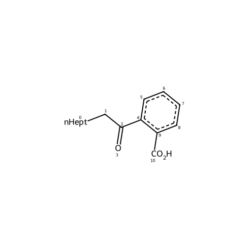 CCCCCCCCC(=O)c1ccccc1C(=O)O